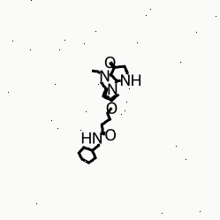 CCN1Cc2cc(OCCCC(=O)NCC3CCCCC3)cn2C2NCCC(=O)C21